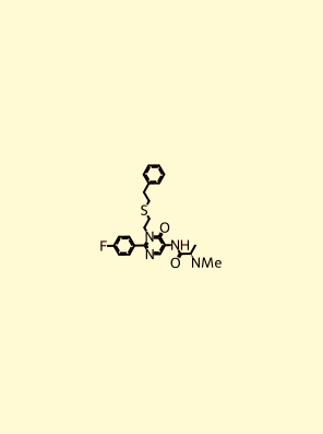 CN[C@@H](C)C(=O)Nc1cnc(-c2ccc(F)cc2)n(CCSCCc2ccccc2)c1=O